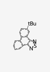 CC(C)(C)c1ccc2c3ccccc3c3nsnc3c2c1